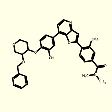 COc1cc(C(=O)N(C)C)ccc1-c1cc2nccc(-c3ccc(OC4CCOCC4OCc4ccccc4)c(C#N)c3)c2o1